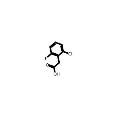 O=C(O)Cc1c(F)c[c]cc1Cl